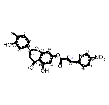 Cc1ccc([C@@H]2CC(=O)c3c(O)cc(OC(=O)/C=C/c4ccc([N+](=O)[O-])cn4)cc3O2)cc1O